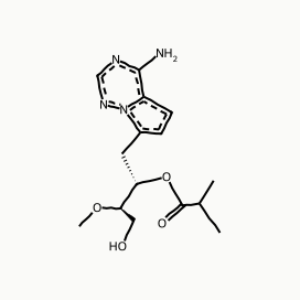 CO[C@H](CO)[C@H](Cc1ccc2c(N)ncnn12)OC(=O)C(C)C